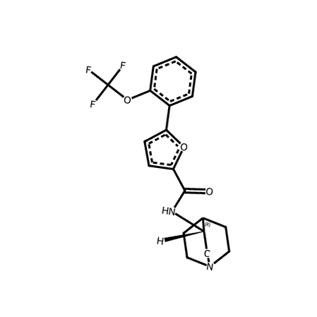 O=C(N[C@H]1CN2CCC1CC2)c1ccc(-c2ccccc2OC(F)(F)F)o1